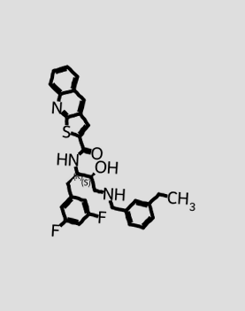 CCc1cccc(CNC[C@H](O)[C@@H](Cc2cc(F)cc(F)c2)NC(=O)c2cc3cc4ccccc4nc3s2)c1